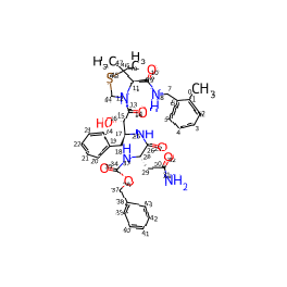 Cc1ccccc1CNC(=O)[C@H]1N(C(=O)[C@@H](O)[C@H](Cc2ccccc2)NC(=O)[C@H](CC(N)=O)NC(=O)OCc2ccccc2)CSC1(C)C